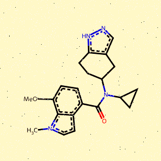 COc1ccc(C(=O)N(C2CC2)C2CCc3[nH]ncc3C2)c2ccn(C)c12